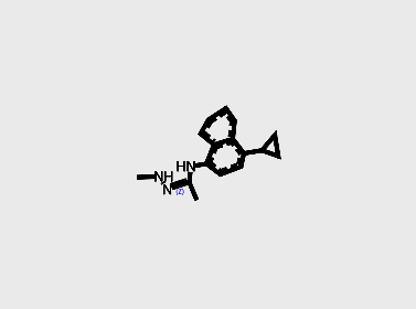 CN/N=C(/C)Nc1ccc(C2CC2)c2ccccc12